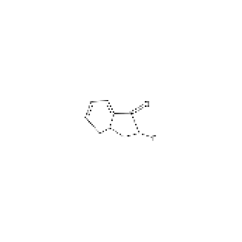 O=C1C2=CC=CCC2CC1F